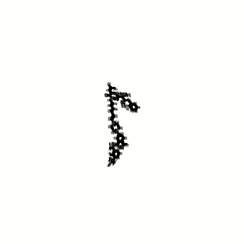 Cc1c(C(C)Nc2nnc(C)c3ccc(N4CCN(CCCCCCCNC(=O)C(CC(C)C)NC(=O)C(O)C(N)Cc5ccccc5)CC4)cc23)cccc1C(F)(F)F